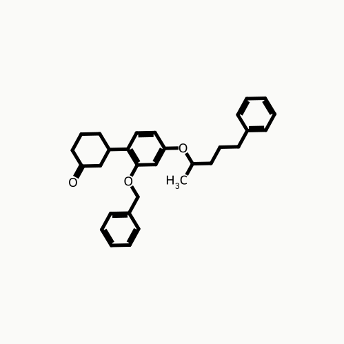 CC(CCCc1ccccc1)Oc1ccc(C2CCCC(=O)C2)c(OCc2ccccc2)c1